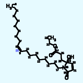 CCCCCCCC/C=C\CCCCCCCCN1C(=O)C=CC1(O)CCC(=O)OCC